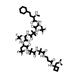 CNC(CCC1CCCCC1)C(=O)N[C@@H](CC(F)(F)F)C(=O)NC(C)(C)C(=O)N[C@@H](CC(F)(F)F)C(=O)NC(CC(F)(F)F)C(=O)NC(C)(C)C(=O)NC(C)(C)C(=O)NCCC(=O)NC1(CN(C)C)CCC1